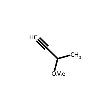 C#CC(C)OC